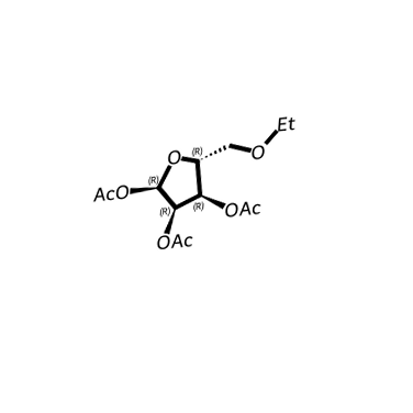 CCOC[C@H]1O[C@H](OC(C)=O)[C@H](OC(C)=O)[C@@H]1OC(C)=O